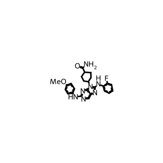 COc1ccc(Nc2ncc3nc(Nc4ccccc4F)n(C4CCC(C(N)=O)CC4)c3n2)cc1